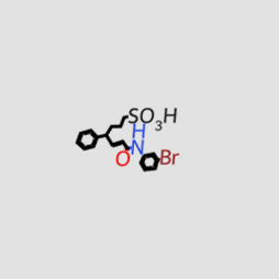 O=C(C=CC(CCCS(=O)(=O)O)c1ccccc1)Nc1cccc(Br)c1